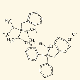 CCN(CC)[P+](Cc1ccccc1)(c1ccccc1)c1ccccc1.CN(C)[P+](Cc1ccccc1)(N(C)C)N(C)C.[Cl-].[Cl-]